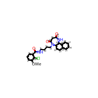 COc1cccc(C(=O)NCCCCN2C(=O)CC(=O)Nc3c2ccc2ccccc32)c1Cl